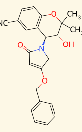 CC1(C)Oc2ccc(C#N)cc2[C@H](N2CC(OCc3ccccc3)=CC2=O)[C@H]1O